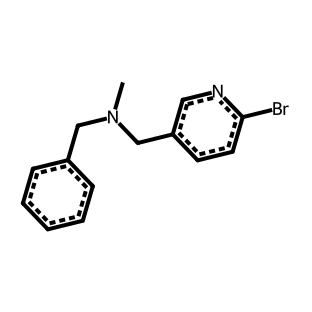 CN(Cc1ccccc1)Cc1ccc(Br)nc1